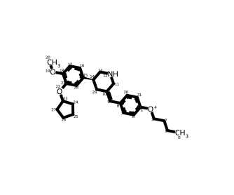 CCCCOc1ccc(C=C2CNC[C@H](c3ccc(OC)c(OC4CCCC4)c3)C2)cc1